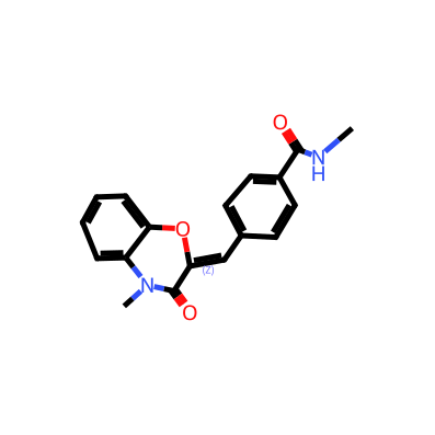 CNC(=O)c1ccc(/C=C2\Oc3ccccc3N(C)C2=O)cc1